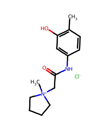 Cc1ccc(NC(=O)C[N+]2(C)CCCC2)cc1O.[Cl-]